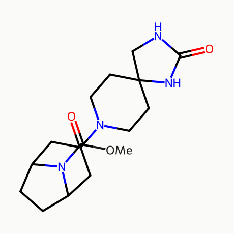 COC(=O)N1C2CCC1CC(N1CCC3(CC1)CNC(=O)N3)C2